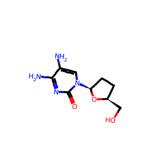 Nc1cn([C@H]2CC[C@@H](CO)O2)c(=O)nc1N